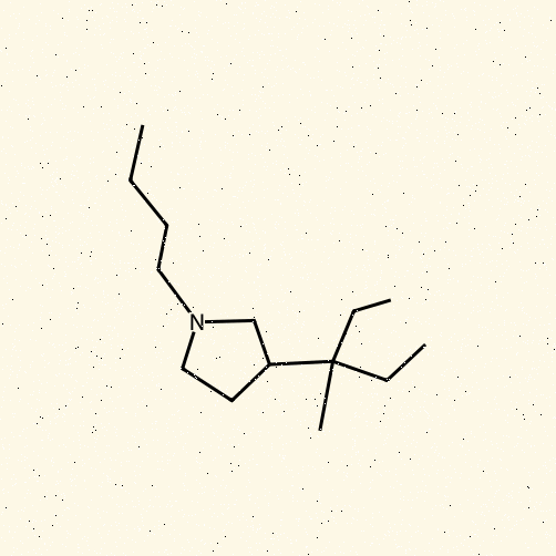 CCCCN1CCC(C(C)(CC)CC)C1